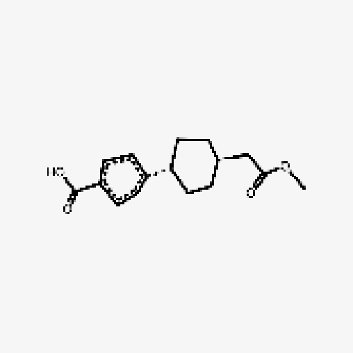 COC(=O)C[C@H]1CC[C@H](c2ccc(C(=O)O)cc2)CC1